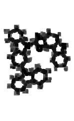 c1ccc2c(c1)sc1ccc3nc(-n4c5ccccc5c5ccc(-n6c7ccccc7c7ccccc76)cc54)oc3c12